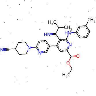 CCOC(=O)c1cc(-c2ccc(N3CCC(C#N)CC3)nc2)c(C(=N)C(C)C)c(Nc2cccc(C)c2)n1